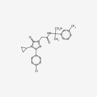 CC(NC(=O)Cn1nc(-c2ccc(Cl)cc2)n(C2CC2)c1=O)(C(=O)O)c1cccc(C(F)(F)F)c1